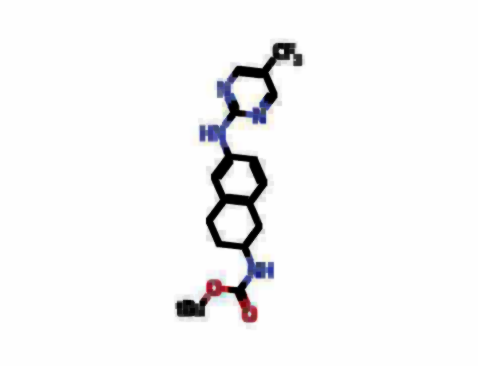 CC(C)(C)OC(=O)NC1CCc2cc(Nc3ncc(C(F)(F)F)cn3)ccc2C1